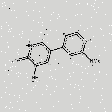 CNc1cc(-c2c[nH]c(=O)c(N)c2)ccn1